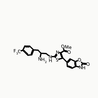 COC(=O)c1nc(NCC(N)Cc2ccc(C(F)(F)F)cc2)sc1-c1ccc2[nH]c(=O)oc2c1